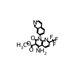 COC(=O)c1c(N)c2ccc(C(F)(F)F)nc2n(-c2ccc3ccncc3c2)c1=O